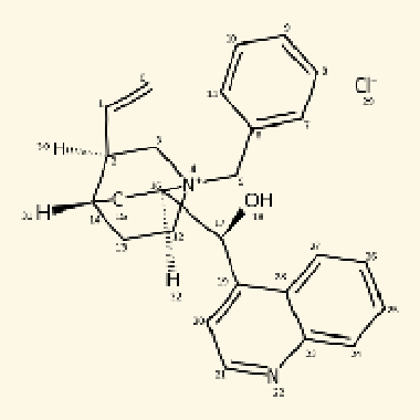 C=C[C@H]1C[N+]2(Cc3ccccc3)CC[C@H]1C[C@@H]2[C@@H](O)c1ccnc2ccccc12.[Cl-]